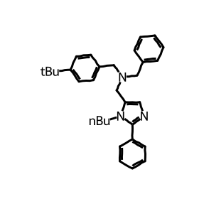 CCCCn1c(CN(Cc2ccccc2)Cc2ccc(C(C)(C)C)cc2)cnc1-c1ccccc1